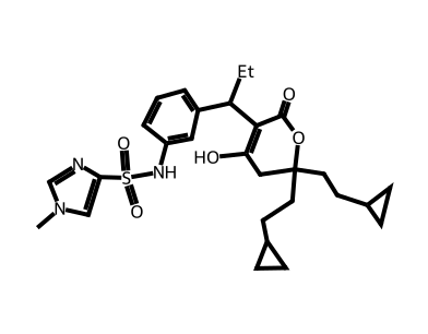 CCC(C1=C(O)CC(CCC2CC2)(CCC2CC2)OC1=O)c1cccc(NS(=O)(=O)c2cn(C)cn2)c1